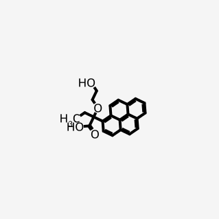 CCC(OCCO)(C(=O)O)c1ccc2ccc3cccc4ccc1c2c34